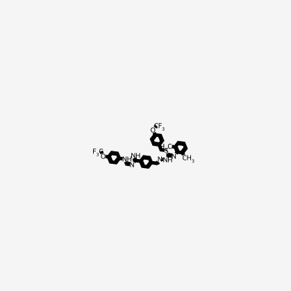 Cc1cccc(C)c1/N=C(/N/N=C/c1ccc(C(=N)/N=C\Nc2ccc(OC(F)(F)F)cc2)cc1)SCc1ccc(OC(F)(F)F)cc1